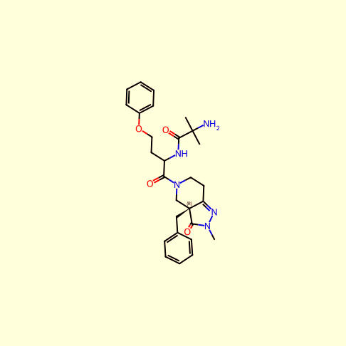 CN1N=C2CCN(C(=O)C(CCOc3ccccc3)NC(=O)C(C)(C)N)C[C@@]2(Cc2ccccc2)C1=O